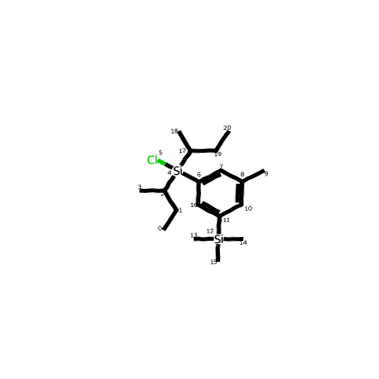 CCC(C)[Si](Cl)(c1cc(C)cc([Si](C)(C)C)c1)C(C)CC